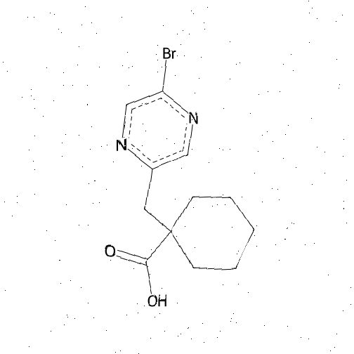 O=C(O)C1(Cc2cnc(Br)cn2)CCCCC1